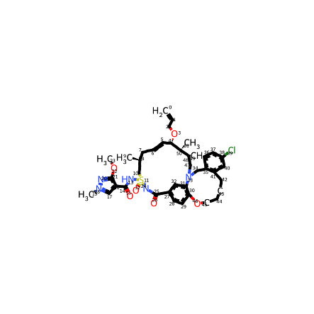 C=CCO[C@H]1/C=C/C[C@H](C)CS(=O)(NC(=O)c2cn(C)nc2OC)=NC(=O)c2ccc3c(c2)N(Cc2ccc(Cl)cc2CCCCO3)C[C@H](C)[C@H]1C